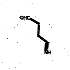 N=[C]CC[C]=O